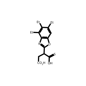 CCc1cc2oc(C(CC(=O)O)C(O)=S)nc2c(CC)c1CC